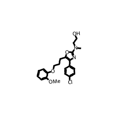 COc1ccccc1OCCCc1oc(N(C)CCO)nc1-c1ccc(Cl)cc1